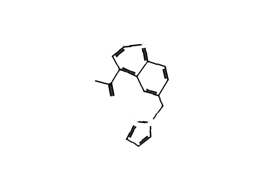 O=C(O)c1ccnc2ccc(Cn3cccn3)cc12